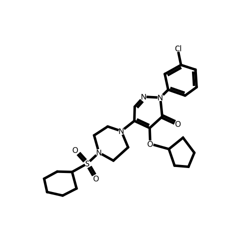 O=c1c(OC2CCCC2)c(N2CCN(S(=O)(=O)C3CCCCC3)CC2)cnn1-c1cccc(Cl)c1